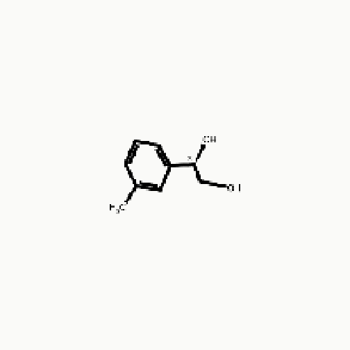 Cc1cccc([C@@H](O)CO)c1